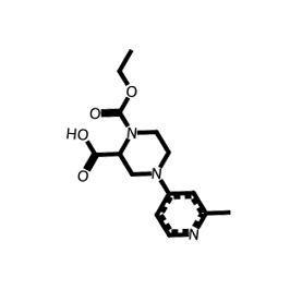 CCOC(=O)N1CCN(c2ccnc(C)c2)CC1C(=O)O